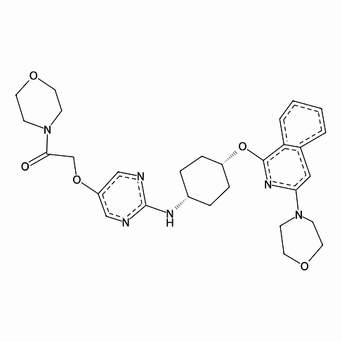 O=C(COc1cnc(N[C@H]2CC[C@@H](Oc3nc(N4CCOCC4)cc4ccccc34)CC2)nc1)N1CCOCC1